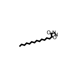 CCCCCCCCCCCCCC1ON=NC1=O